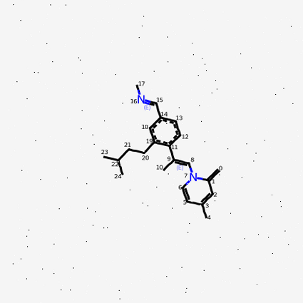 C=C1C=C(C)C=CN1/C=C(\C)c1ccc(/C=N/C)cc1CCC(C)C